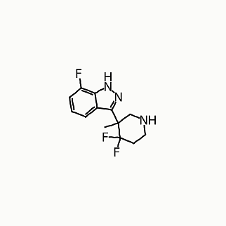 CC1(c2n[nH]c3c(F)cccc23)CNCCC1(F)F